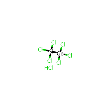 Cl.Cl[Si](Cl)(Cl)[Ge]([Cl])([Cl])[Cl]